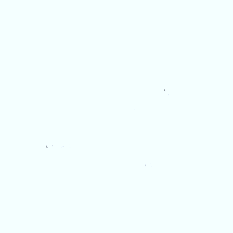 COCOc1cccnc1C(C)O